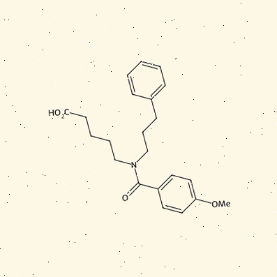 COc1ccc(C(=O)N(CCCCC(=O)O)CCCc2ccccc2)cc1